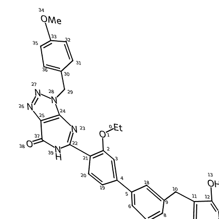 CCOc1cc(-c2cccc(Cc3c(O)noc3C)c2)ccc1-c1nc2c(nnn2Cc2ccc(OC)cc2)c(=O)[nH]1